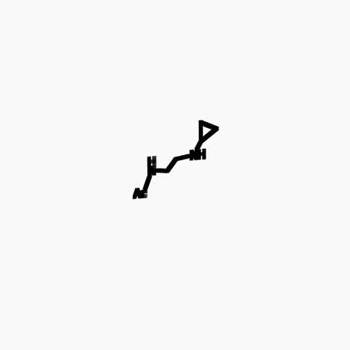 CC(=O)NCCNC1CC1